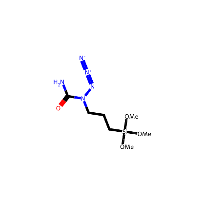 CO[Si](CCCN(N=[N+]=[N-])C(N)=O)(OC)OC